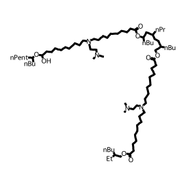 CCCCCC(CCCC)OC(O)CCCCCCCCCN(CCCCCCCCCC(=O)OC(CCCC)CC(CCC)CCC(CCCC)COC(=O)CCCCCCCCCN(CCCCCCCCCC(=O)OCC(CC)CCCC)CCN(C)C)CCN(C)C